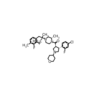 Cc1ccc(C[C@@](C)(C(=O)O)N2CCN(C(=O)[C@@H]3CN(C4CCOCC4)C[C@H]3c3ccc(Cl)cc3F)[C@@H](C)C2)c(F)c1F